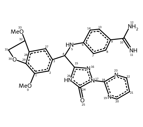 COc1cc(C(Nc2ccc(C(=N)N)cc2)c2nn(-c3ncccn3)c(=O)[nH]2)cc2c1OCC2OC